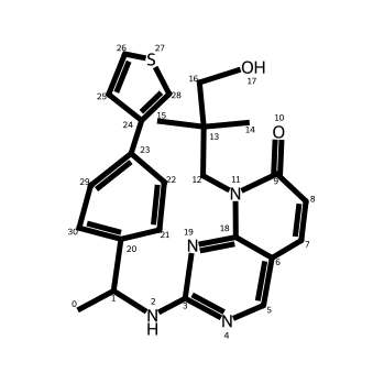 CC(Nc1ncc2ccc(=O)n(CC(C)(C)CO)c2n1)c1ccc(-c2ccsc2)cc1